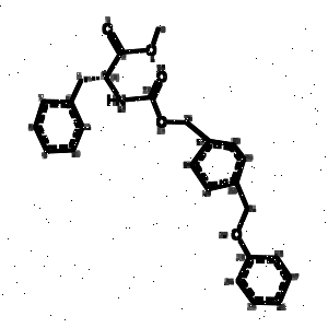 COC(=O)[C@@H](Cc1ccccc1)NC(=O)OCc1ccc(COc2ccccc2)cc1